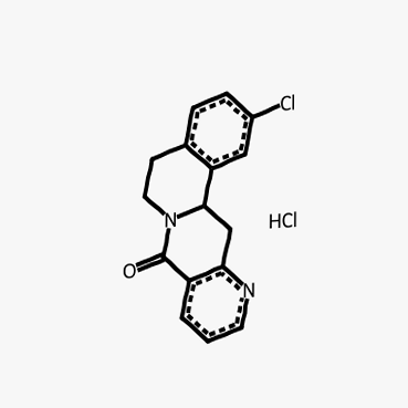 Cl.O=C1c2cccnc2CC2c3cc(Cl)ccc3CCN12